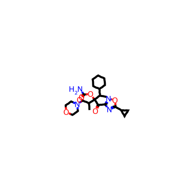 CC(C(=O)N1CCOCC1)C(OC(N)=O)(C(=O)c1noc(C2CC2)n1)C(C)C1CCCCC1